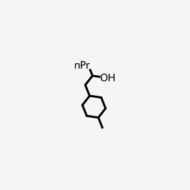 CCCC(O)CC1CCC(C)CC1